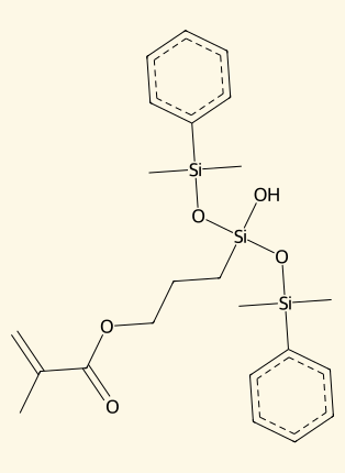 C=C(C)C(=O)OCCC[Si](O)(O[Si](C)(C)c1ccccc1)O[Si](C)(C)c1ccccc1